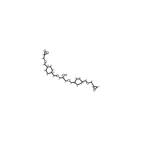 OC(COCC1CCC(COCC2CO2)CC1)COCC1CCC(COCC2OO2)CC1